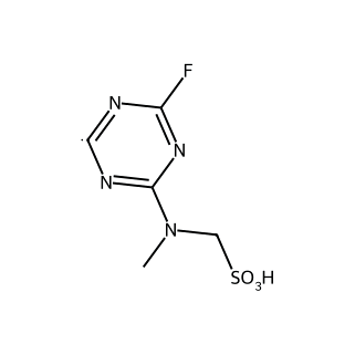 CN(CS(=O)(=O)O)c1n[c]nc(F)n1